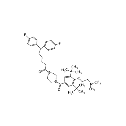 CN(C)CCOc1c(C(C)(C)C)cc(C(=O)N2CCN(C(=O)CCCCC(c3ccc(F)cc3)c3ccc(F)cc3)CC2)cc1C(C)(C)C